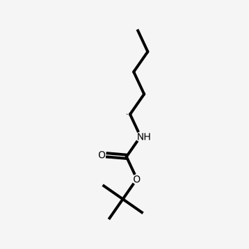 CCCC[CH]NC(=O)OC(C)(C)C